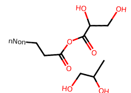 CC(O)CO.CCCCCCCCCCCC(=O)OC(=O)C(O)CO